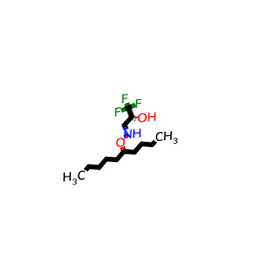 CCCCCC(CCCC)ONC[C@@H](O)C(F)(F)F